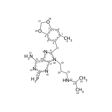 Cc1cc2c(cc1Cc1nc3c(N)nc(P)nc3n1CCCNC(C)C)OCO2